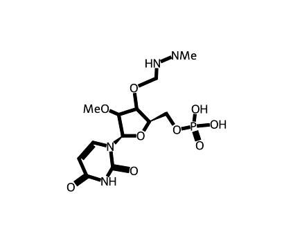 CNNCOC1C(OC)[C@H](n2ccc(=O)[nH]c2=O)O[C@@H]1COP(=O)(O)O